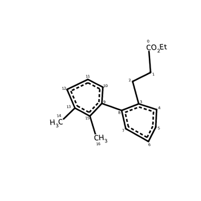 CCOC(=O)CCc1ccccc1-c1cccc(C)c1C